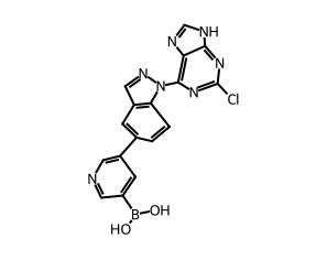 OB(O)c1cncc(-c2ccc3c(cnn3-c3nc(Cl)nc4[nH]cnc34)c2)c1